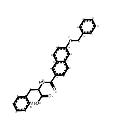 COC(=O)C(Cc1ccccc1)NC(=O)c1ccc2cc(OCc3ccccc3)ccc2c1